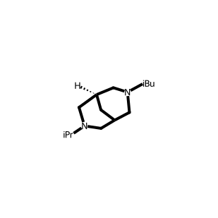 CCC(C)N1CC2C[C@@H](CN(C(C)C)C2)C1